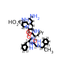 CC(C)C[C@@H](NC(=O)[C@@H](Cc1ccccc1)NC(=O)CNCC(C)c1ccccc1)C(=O)N[C@H](CCCCN)C(=O)N1CCC(N)(C(=O)O)CC1